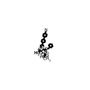 CNC(=O)[C@@H](N=C(OCc1ccccc1)[C@@H](CC(=O)O)n1ccc(-c2ccc(-c3ccc(C#N)cc3)cc2)c1)C(C)(C)C